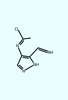 C/C(Cl)=N\c1cn[nH]c1C=N